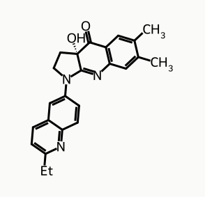 CCc1ccc2cc(N3CC[C@@]4(O)C(=O)c5cc(C)c(C)cc5N=C34)ccc2n1